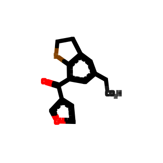 O=C(O)Cc1cc2c(c(C(=O)c3ccoc3)c1)SCC2